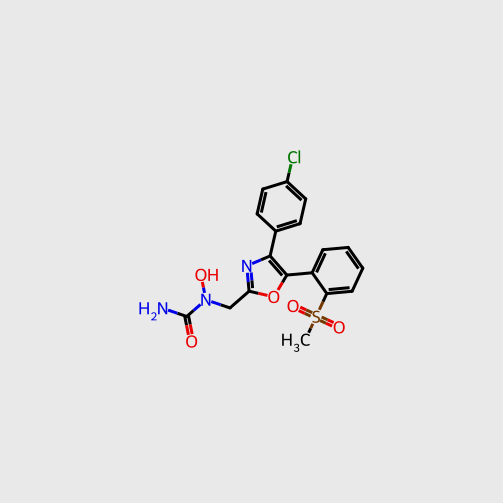 CS(=O)(=O)c1ccccc1-c1oc(CN(O)C(N)=O)nc1-c1ccc(Cl)cc1